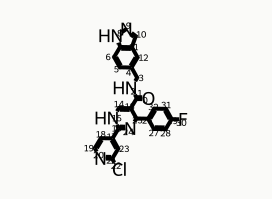 O=C(NCc1ccc2[nH]ncc2c1)C1=CNC(c2ccnc(Cl)c2)=NC1c1ccc(F)cc1